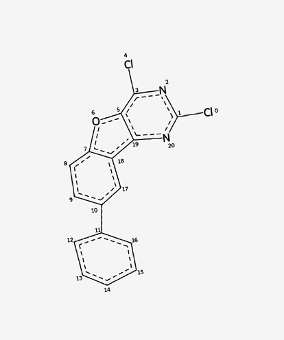 Clc1nc(Cl)c2oc3ccc(-c4ccccc4)cc3c2n1